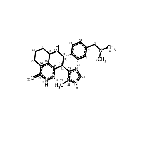 CN(C)Cc1ccc([C@H]2NC3CCCc4c3c(n[nH]c4=O)[C@@H]2c2ncnn2C)cc1